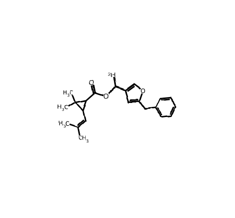 [2H]C(OC(=O)C1C(C=C(C)C)C1(C)C)c1coc(Cc2ccccc2)c1